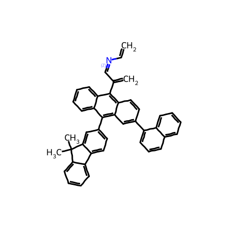 C=C/N=C\C(=C)c1c2ccccc2c(-c2ccc3c(c2)C(C)(C)c2ccccc2-3)c2cc(-c3cccc4ccccc34)ccc12